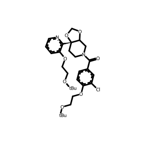 CC(C)(C)OCCOc1ccc(C(=O)N2CC[C@]3(c4ncccc4OCCOC(C)(C)C)OCOC3C2)cc1Cl